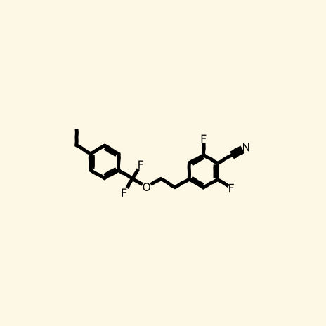 CCc1ccc(C(F)(F)OCCc2cc(F)c(C#N)c(F)c2)cc1